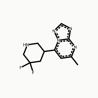 Cc1cc(C2CNCC(F)(F)C2)n2ncnc2n1